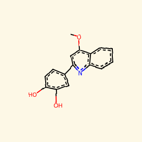 COc1cc(-c2ccc(O)c(O)c2)nc2ccccc12